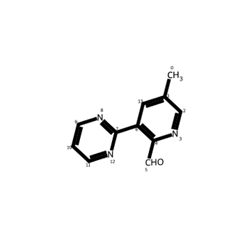 Cc1cnc(C=O)c(-c2ncccn2)c1